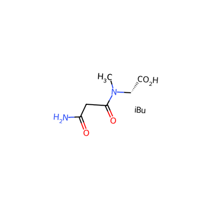 CC[C@H](C)[C@@H](C(=O)O)N(C)C(=O)CC(N)=O